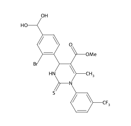 COC(=O)C1=C(C)N(c2cccc(C(F)(F)F)c2)C(=S)NC1c1ccc(C(O)O)cc1Br